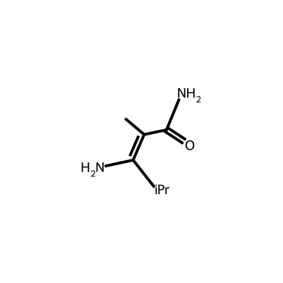 CC(C(N)=O)=C(N)C(C)C